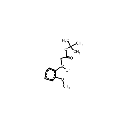 COc1ccccc1[S+]([O-])CC(=O)OC(C)(C)C